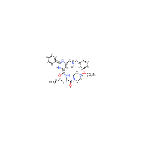 CCOC(=O)ON1CCN(C(=O)[C@H](CCC(=O)O)NC(=O)c2cc(CN(C)Cc3ccccc3)nc(-c3ccccc3)n2)CC1